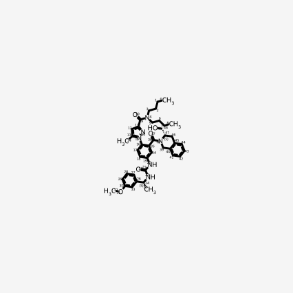 CCCCN(CCCC)C(=O)c1cc(C)n(-c2ccc(NC(=O)N[C@@H](C)c3cccc(OC)c3)cc2C(=O)N2Cc3ccccc3C[C@H]2CO)n1